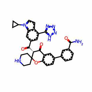 NC(=O)c1cccc(-c2ccc3c(c2)C(=O)[C@@H](C(=O)c2cc(-c4nnn[nH]4)c4ccn(C5CC5)c4c2)C2(CCNCC2)O3)c1